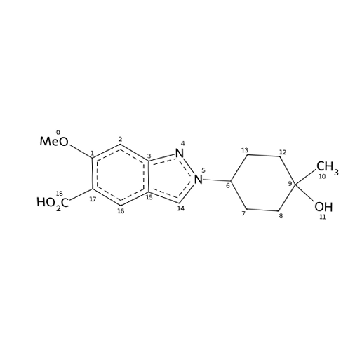 COc1cc2nn(C3CCC(C)(O)CC3)cc2cc1C(=O)O